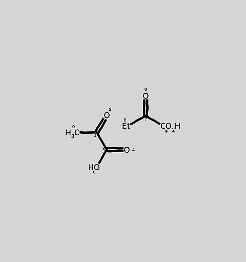 CC(=O)C(=O)O.CCC(=O)C(=O)O